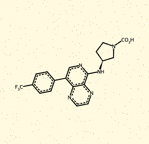 O=C(O)N1CC[C@H](Nc2ncc(-c3ccc(C(F)(F)F)cc3)c3nccnc23)C1